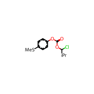 CSc1ccc(OC(=O)OC(Cl)C(C)C)cc1